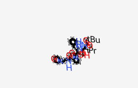 CC(C)[C@H](NC(=O)OC(C)(C)C)C(=O)N[C@@H](Cc1ccccc1)C(O)C(=O)N1CCC[C@H]1C(=O)NCCN1CCOCC1